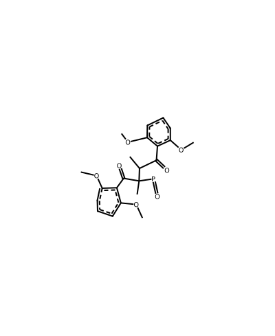 COc1cccc(OC)c1C(=O)C(C)C(C)(P=O)C(=O)c1c(OC)cccc1OC